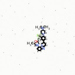 C[C@@H]1CN(c2cccc3nc4ccc(-c5ccc(N6CCC(N(C)C)CC6)c(C(F)(F)F)c5)cn4c23)C[C@H](C)O1